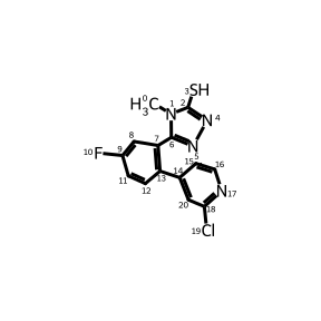 Cn1c(S)nnc1-c1cc(F)ccc1-c1[c]cnc(Cl)c1